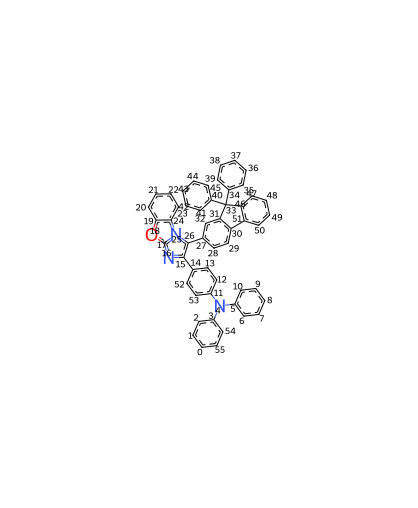 c1ccc(N(c2ccccc2)c2ccc(-c3nc4oc5ccccc5n4c3-c3ccc4c(c3)C(c3ccccc3)(c3ccccc3)c3ccccc3-4)cc2)cc1